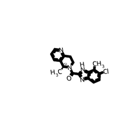 Cc1c(Cl)ccc2nc(C(=O)N3CCc4ncccc4[C@@H]3C)[nH]c12